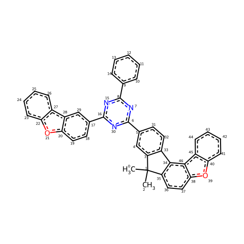 CC1(C)c2cc(-c3nc(-c4ccccc4)nc(-c4ccc5oc6ccccc6c5c4)n3)ccc2-c2c1ccc1oc3ccccc3c21